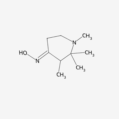 CC1C(=NO)CCN(C)C1(C)C